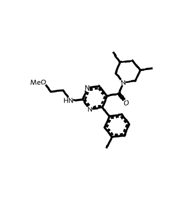 COCCNc1ncc(C(=O)N2CC(C)CC(C)C2)c(-c2cccc(C)c2)n1